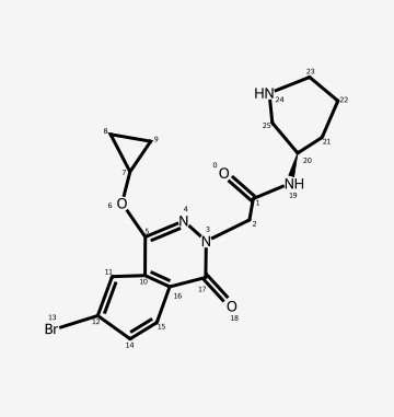 O=C(Cn1nc(OC2CC2)c2cc(Br)ccc2c1=O)N[C@@H]1CCCNC1